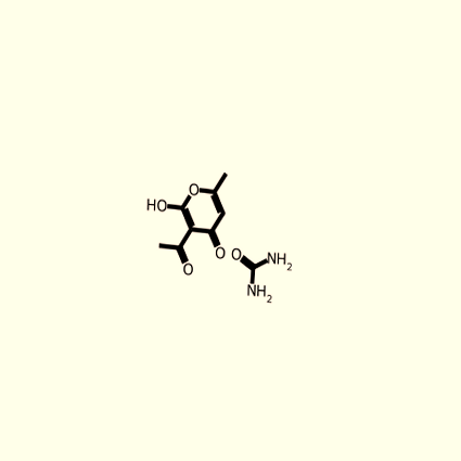 CC(=O)c1c(O)oc(C)cc1=O.NC(N)=O